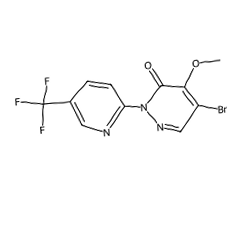 COc1c(Br)cnn(-c2ccc(C(F)(F)F)cn2)c1=O